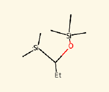 CCC(O[Si](C)(C)C)[Si](C)C